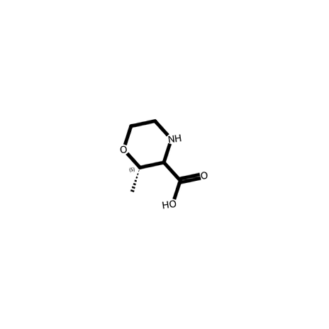 C[C@@H]1OCCNC1C(=O)O